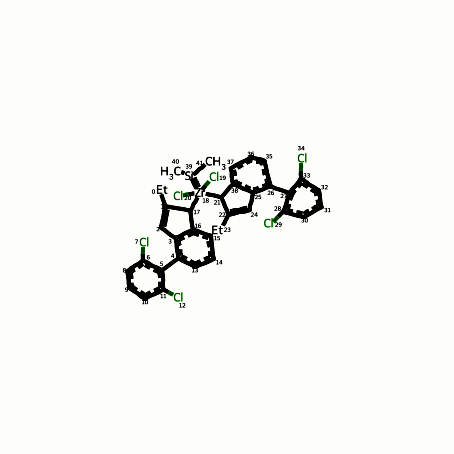 CCC1=Cc2c(-c3c(Cl)cccc3Cl)cccc2[CH]1[Zr]([Cl])([Cl])([CH]1C(CC)=Cc2c(-c3c(Cl)cccc3Cl)cccc21)=[Si](C)C